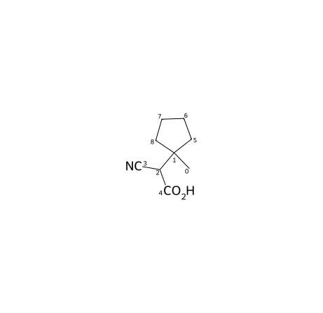 CC1(C(C#N)C(=O)O)CCCC1